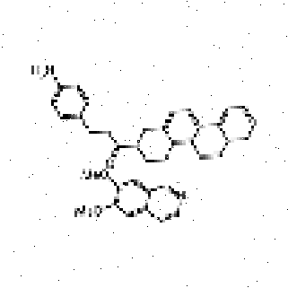 COc1cc2ccncc2cc1OC.Nc1ccc(CCC(=O)C2CCc3c(ccc4c3ccc3ccccc34)C2)cc1